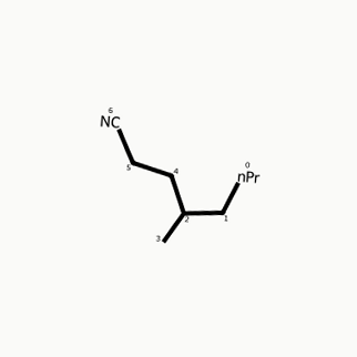 CCCCC(C)CCC#N